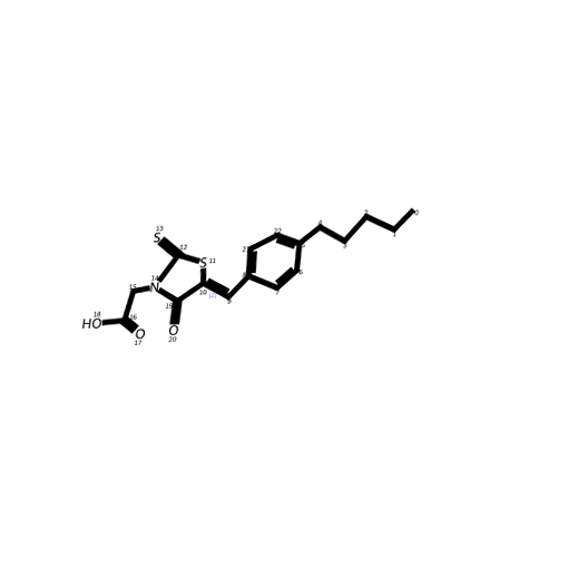 CCCCCc1ccc(/C=C2\SC(=S)N(CC(=O)O)C2=O)cc1